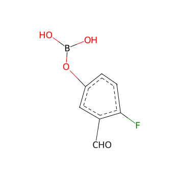 O=Cc1cc(OB(O)O)ccc1F